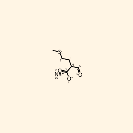 CSCCC(C=O)C(=O)[O-].[Na+]